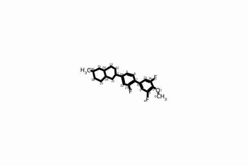 COc1c(F)cc(-c2ccc(C3CCC4CC(C)CCC4C3)cc2F)cc1F